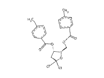 Cc1ccc(C(=O)OC[C@H]2OC(Cl)(Cl)C[C@@H]2OC(=O)c2ccc(C)cc2)cc1